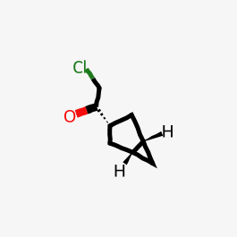 O=C(CCl)[C@@H]1C[C@@H]2C[C@@H]2C1